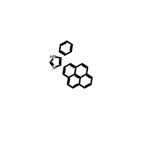 c1c[nH]cn1.c1cc2ccc3cccc4ccc(c1)c2c34.c1ccccc1